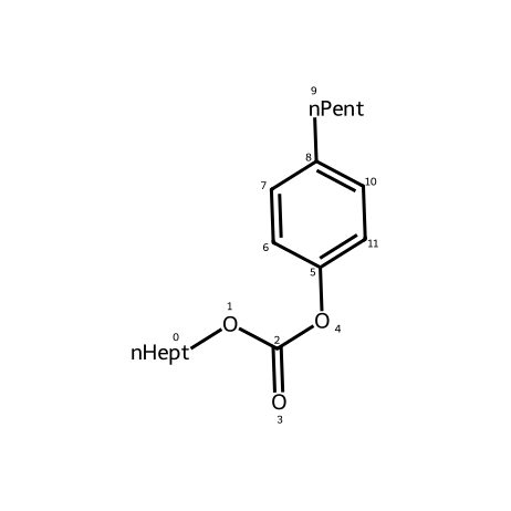 CCCCCCCOC(=O)Oc1ccc(CCCCC)cc1